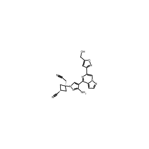 N#CC[C@]1(n2cc(-c3nc(-c4cc(CO)on4)cn4nccc34)c(N)n2)C[C@@H](C#N)C1